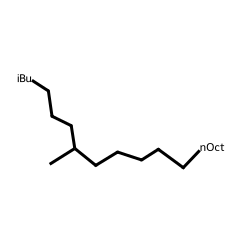 CCCCCCCCCCCCCC(C)CCCC(C)CC